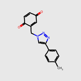 Cc1ccc(-c2cn(CC3=CC(=O)C=CC3=O)nn2)cc1